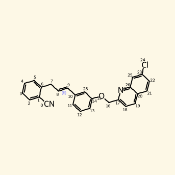 N#Cc1ccccc1C/C=C/c1cccc(OCc2ccc3ccc(Cl)cc3n2)c1